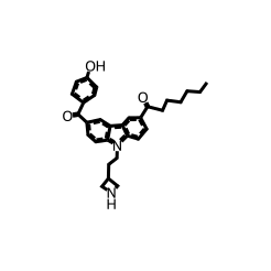 CCCCCCC(=O)c1ccc2c(c1)c1cc(C(=O)c3ccc(O)cc3)ccc1n2CCC1CNC1